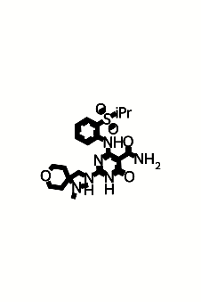 CC(C)S(=O)(=O)c1ccccc1Nc1nc(NCC2(N(C)C)CCOCC2)[nH]c(=O)c1C(N)=O